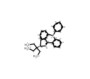 CCC(CC)(CC)[C@H]1COC(c2ccccc2P(c2ccccc2)c2ccccc2)=N1